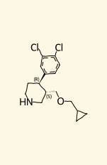 Clc1ccc([C@@H]2CCNC[C@H]2COCC2CC2)cc1Cl